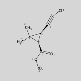 CC(C)(C)OC(=O)[C@@H]1[C@H](C#CCl)C1(C)C